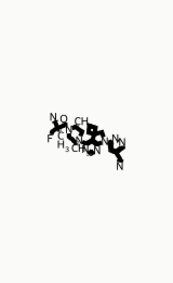 C[C@@H]1CN(c2ncnc3c2C2(CCC2)CN3c2cc(C#N)cnn2)[C@@H](C)CN1C(=O)[C@@](C)(C#N)CF